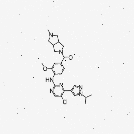 COc1cc(C(=O)N2CC3CN(C)CC3C2)ccc1Nc1ncc(Cl)c(-c2cnn(C(C)C)c2)n1